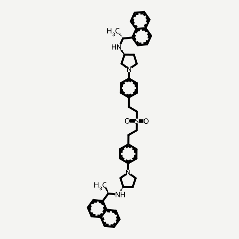 C[C@@H](N[C@H]1CCN(c2ccc(CCS(=O)(=O)CCc3ccc(N4CC[C@H](N[C@H](C)c5cccc6ccccc56)C4)cc3)cc2)C1)c1cccc2ccccc12